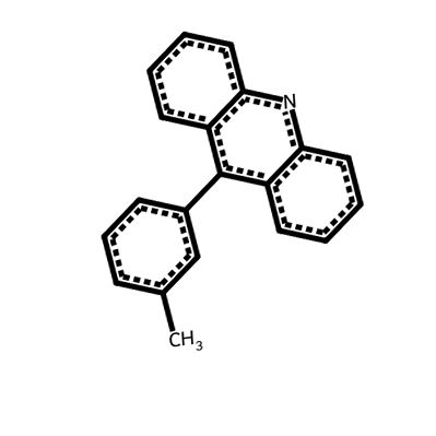 Cc1cccc(-c2c3ccccc3nc3ccccc23)c1